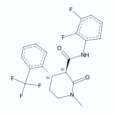 CN1CC[C@H](c2ccccc2C(F)(F)F)[C@@H](C(=O)Nc2cccc(F)c2F)C1=O